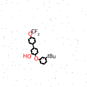 CC(C)(C)c1cccc(Oc2ccc(-c3ccc(OC(F)(F)F)cc3)cc2O)c1